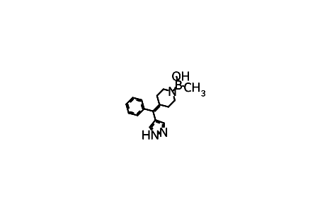 CB(O)N1CCC(=C(c2ccccc2)c2cn[nH]c2)CC1